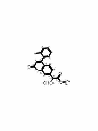 Cc1ccccc1-c1cc(=O)oc2cc([C@H](C=O)C(=O)OC(C)C)ccc12